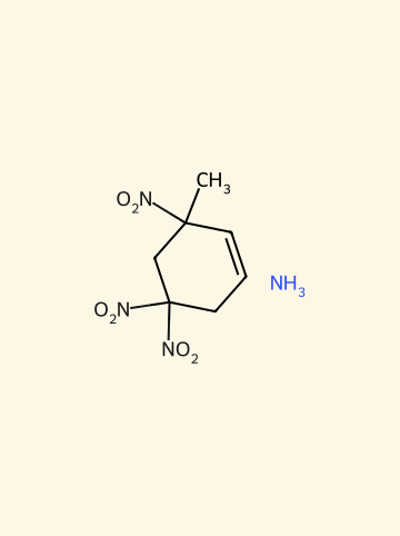 CC1([N+](=O)[O-])C=CCC([N+](=O)[O-])([N+](=O)[O-])C1.N